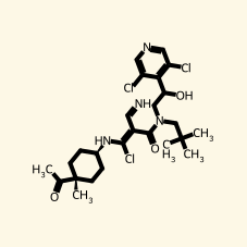 CC(=O)[C@]1(C)CC[C@@H](N/C(Cl)=C(\C=N)C(=O)N(CC(O)c2c(Cl)cncc2Cl)CC(C)(C)C)CC1